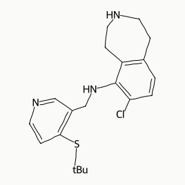 CC(C)(C)Sc1ccncc1CNc1c(Cl)ccc2c1CCNCC2